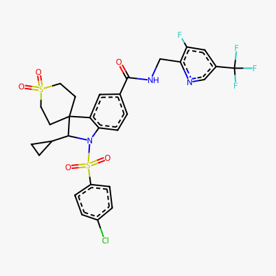 O=C(NCc1ncc(C(F)(F)F)cc1F)c1ccc2c(c1)C1(CCS(=O)(=O)CC1)C(C1CC1)N2S(=O)(=O)c1ccc(Cl)cc1